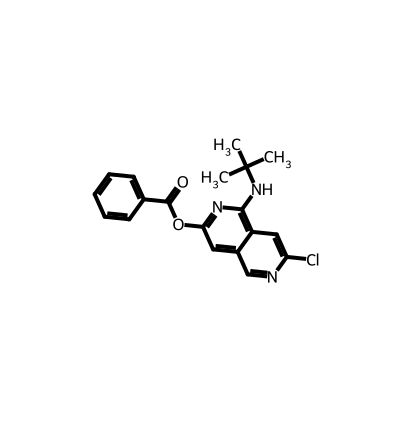 CC(C)(C)Nc1nc(OC(=O)c2ccccc2)cc2cnc(Cl)cc12